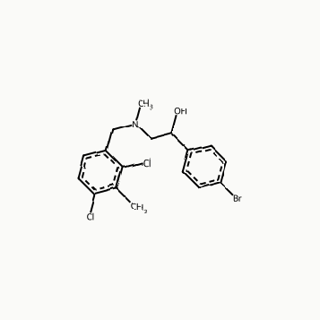 Cc1c(Cl)ccc(CN(C)CC(O)c2ccc(Br)cc2)c1Cl